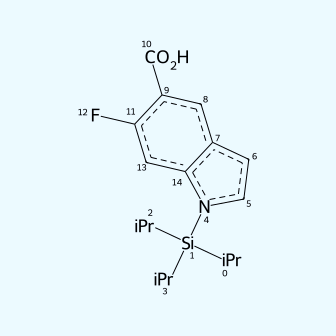 CC(C)[Si](C(C)C)(C(C)C)n1ccc2cc(C(=O)O)c(F)cc21